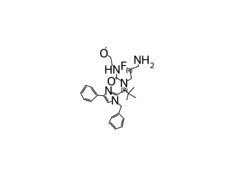 COCCNC(=O)N(C[C@H](F)CN)[C@@H](c1nc(-c2ccccc2)cn1Cc1ccccc1)C(C)(C)C